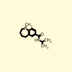 CC(C)NC(=O)c1ccc2c(c1)CCCCN2C